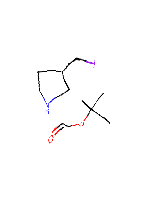 CC(C)(C)OC=O.ICC1CCNC1